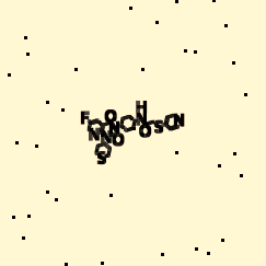 O=C(CSc1ccncc1)NC1CCC(n2c(=O)c3cc(F)cnc3n(C3CCSCC3)c2=O)CC1